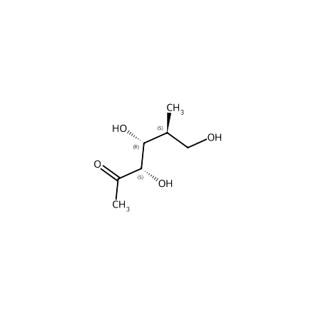 CC(=O)[C@@H](O)[C@H](O)[C@@H](C)CO